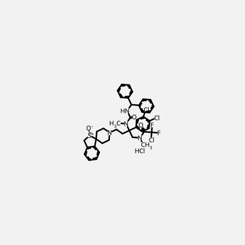 CN(CC(CCN1CCC2(CC1)c1ccccc1C[S@+]2[O-])(c1ccc(Cl)c(Cl)c1)N(C)C(=O)NC(c1ccccc1)c1ccccc1)C(=O)C(F)(F)Cl.Cl